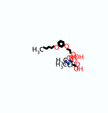 CCCCCCOc1cccc(OCCCOP(=O)(O)O[C@H](CC(=O)O)C([O-])[N+](C)(C)C)c1